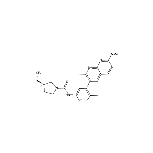 CNc1ncc2cc(-c3cc(NC(=O)N4CC[C@@H](CC(F)(F)F)C4)ccc3C)c(C)nc2n1